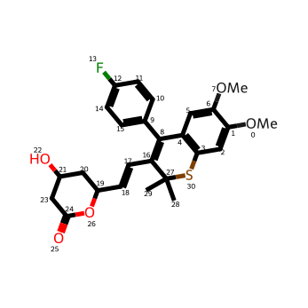 COc1cc2c(cc1OC)C(c1ccc(F)cc1)=C(C=CC1CC(O)CC(=O)O1)C(C)(C)S2